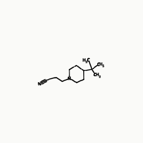 CC(C)(C)C1CCN(CCC#N)CC1